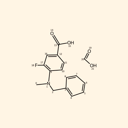 CN(Cc1ccccc1)c1ccc(C(=O)O)cc1F.O=CO